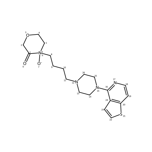 O=C1COCC[N+]1([O-])CCCCN1CCN(c2nccc3sccc23)CC1